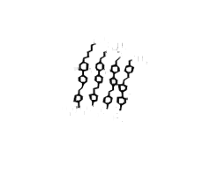 CCCCCCCc1ccc(-c2ccc(CCc3ccc(CC)cc3)cc2)c(F)c1.CCCCc1ccc(-c2ccc(CCc3ccc(CC)cc3)cc2)c(F)c1.CCCc1ccc(-c2ccc(CCc3ccc(CC)cc3)cc2)c(F)c1.CCc1ccc(CCc2ccc(-c3ccc(CC)cc3F)cc2)cc1